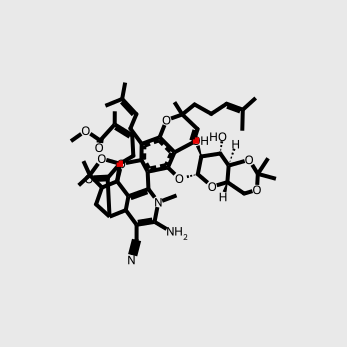 COC(=O)/C(C)=C\CC12OC(C)(C)C3CC(C1=O)C1C(C#N)=C(N)N(C)C4=C1C32Oc1c(CC=C(C)C)c2c(c(O[C@H]3O[C@H]5COC(C)(C)O[C@@H]5[C@@H](O)[C@@H]3O)c14)C=CC(C)(CCC=C(C)C)O2